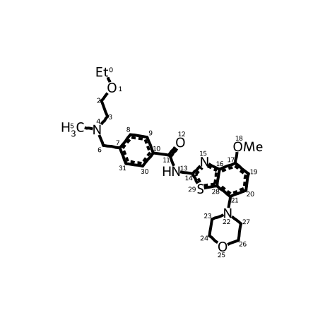 CCOCCN(C)Cc1ccc(C(=O)Nc2nc3c(OC)ccc(N4CCOCC4)c3s2)cc1